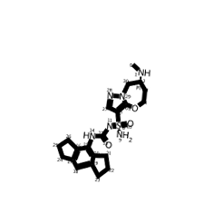 CN[C@@H]1CCOc2c([S@](N)(=O)=NC(=O)Nc3c4c(cc5c3CCC5)CCC4)cnn2C1